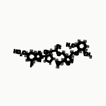 CC[C@H](C[C@@H]1CCC[C@@]1(O)c1nc2c(F)cc(C(=O)O)cc2s1)OCc1c(COc2c(C)cccc2C)noc1C1CC1